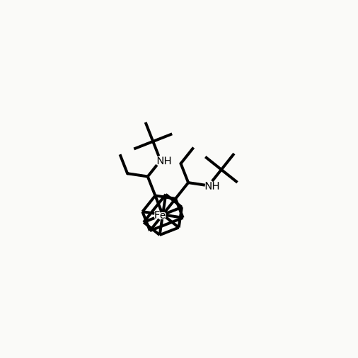 CCC(NC(C)(C)C)[C]12[CH]3[CH]4[CH]5[C]1(C(CC)NC(C)(C)C)[Fe]43521678[CH]2[CH]1[CH]6[CH]7[CH]28